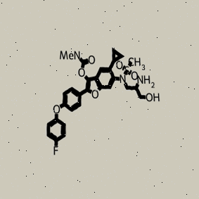 CNC(=O)Oc1c(-c2ccc(Oc3ccc(F)cc3)cc2)oc2cc(N(CC(N)CO)S(C)(=O)=O)c(C3CC3)cc12